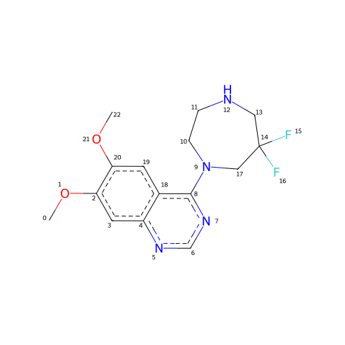 COc1cc2ncnc(N3CCNCC(F)(F)C3)c2cc1OC